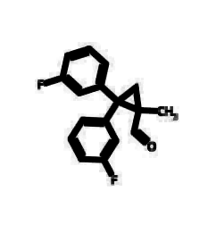 CC1(C=O)CC1(c1cccc(F)c1)c1cccc(F)c1